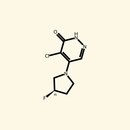 O=c1[nH]ncc(N2C[CH][C@@H](F)C2)c1Cl